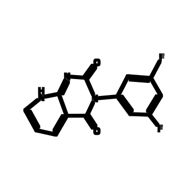 O=c1nc2[nH]cccc-2c(=O)n1-c1cc(F)cc(F)c1